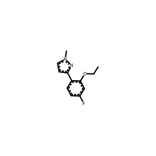 CCOc1cc(F)ccc1-c1ccn(C)n1